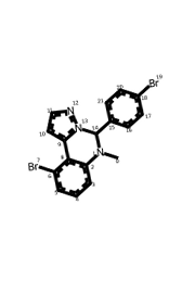 CN1c2cccc(Br)c2-c2ccnn2C1c1ccc(Br)cc1